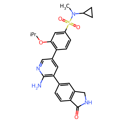 CC(C)Oc1cc(S(=O)(=O)N(C)C2CC2)ccc1-c1cnc(N)c(-c2ccc3c(c2)CNC3=O)c1